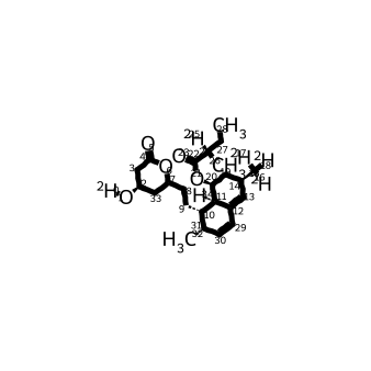 [2H]O[C@H]1CC(=O)OC(CC[C@@H]2[C@@H]3C(=C[C@H](C([2H])([2H])[2H])C[C@@H]3OC(=O)[C@@]([2H])(C)CC)C=C[C@@H]2C)C1